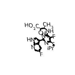 CC(C)Sc1nc(-c2c[nH]c3ncc(F)cc23)nc(N[C@@H](C)[C@H](C)C(=O)O)c1F